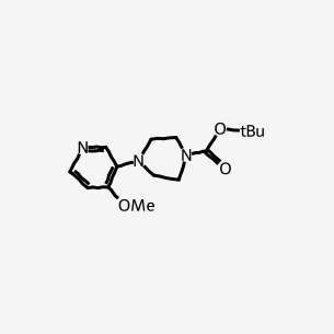 COc1ccncc1N1CCN(C(=O)OC(C)(C)C)CC1